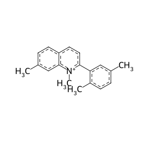 Cc1ccc(C)c(-c2ccc3ccc(C)cc3[n+]2C)c1